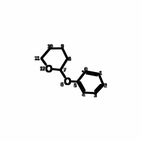 [c]1ccccc1OC1CCCCO1